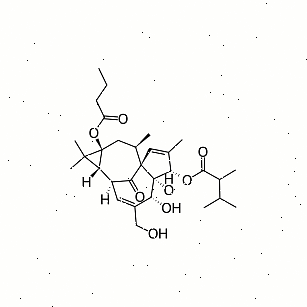 CCCC(=O)O[C@@]12C[C@@H](C)[C@]34C=C(C)[C@H](OC(=O)C(C)C(C)C)[C@@]3(O)[C@H](O)C(CO)=C[C@H](C4=O)[C@@H]1C2(C)C